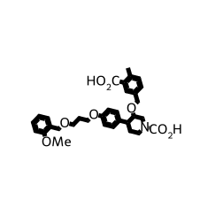 COc1ccccc1COCCCOc1ccc(C2CCN(C(=O)O)CC2OCc2ccc(C)c(C(=O)O)c2)cc1